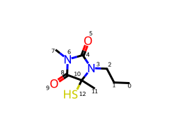 CCCN1C(=O)N(C)C(=O)C1(C)S